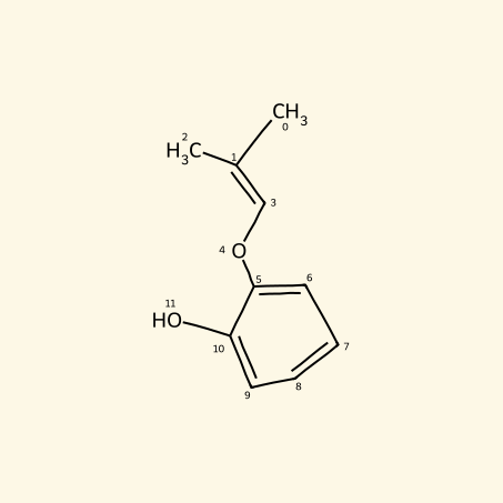 CC(C)=COc1ccccc1O